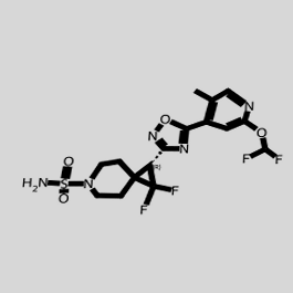 Cc1cnc(OC(F)F)cc1-c1nc([C@@H]2C(F)(F)C23CCN(S(N)(=O)=O)CC3)no1